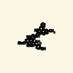 COc1cc(CN(CC(=O)NCC(=O)N[C@@H](Cc2ccccc2)C(=O)N[C@H]2CC(C)OC2=O)C(=O)[C@@H](N)Cc2ccc(O)cc2)c([N+](=O)[O-])cc1OC